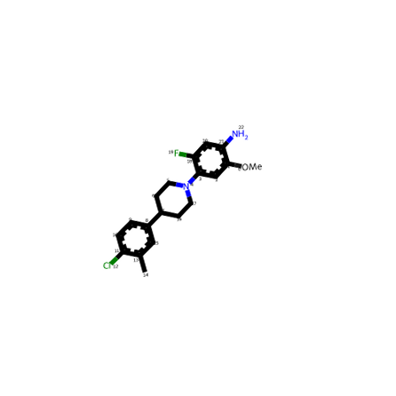 COc1cc(N2CCC(c3ccc(Cl)c(C)c3)CC2)c(F)cc1N